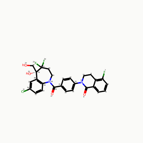 O=C1c2cccc(F)c2CCN1c1ccc(C(=O)N2CCC(F)(F)[C@](O)(CO)c3cc(Cl)ccc32)cc1